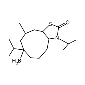 BC1(C(C)C)CCCC2C(CC(C)C1)SC(=O)N2C(C)C